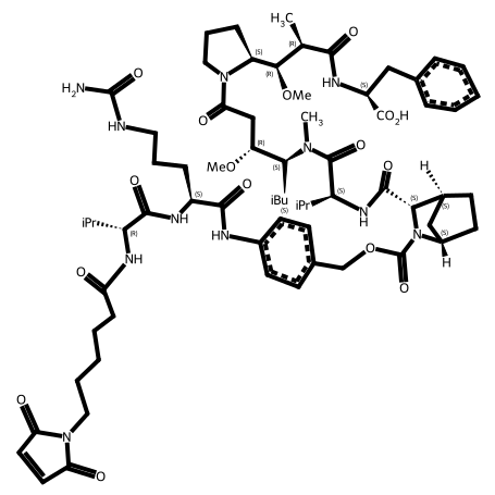 CC[C@H](C)[C@@H]([C@@H](CC(=O)N1CCC[C@H]1[C@H](OC)[C@@H](C)C(=O)N[C@@H](Cc1ccccc1)C(=O)O)OC)N(C)C(=O)[C@@H](NC(=O)[C@@H]1[C@H]2CC[C@@H](C2)N1C(=O)OCc1ccc(NC(=O)[C@H](CCCNC(N)=O)NC(=O)[C@H](NC(=O)CCCCCN2C(=O)C=CC2=O)C(C)C)cc1)C(C)C